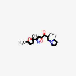 CC1=CCC(C)(c2cc(C(=O)C(C)CN3CCCC3)on2)O1